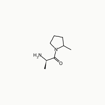 CC1CCCN1C(=O)[C@@H](C)N